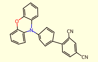 N#Cc1ccc(-c2ccc(N3c4ccccc4Oc4ccccc43)cc2)c(C#N)c1